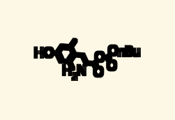 CCCCOC(=O)OC(=O)[C@@H](N)Cc1c(C)cc(O)cc1C